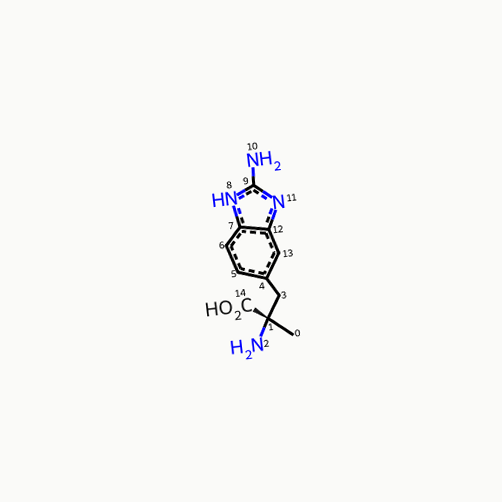 C[C@](N)(Cc1ccc2[nH]c(N)nc2c1)C(=O)O